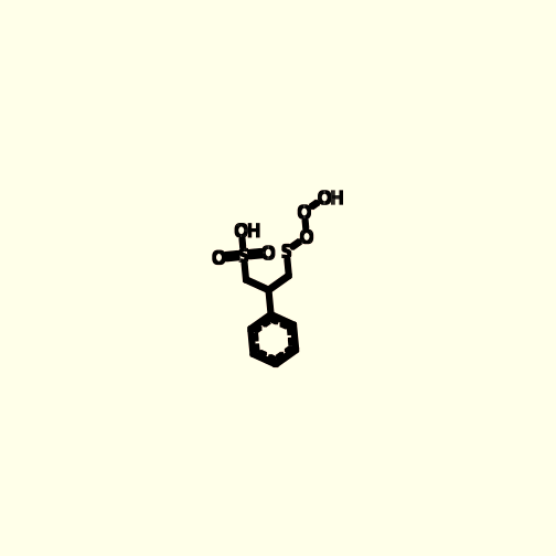 O=S(=O)(O)CC(CSOOO)c1ccccc1